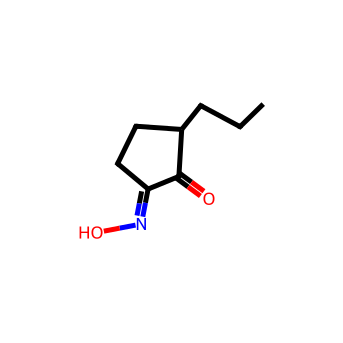 CCCC1CC/C(=N\O)C1=O